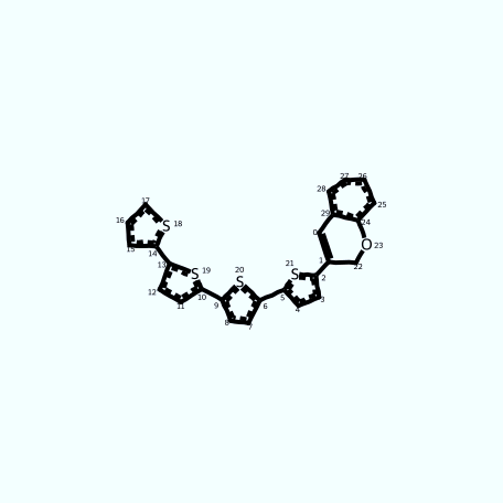 C1=C(c2ccc(-c3ccc(-c4ccc(-c5cccs5)s4)s3)s2)COc2ccccc21